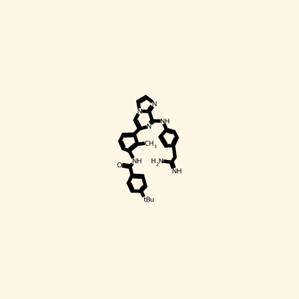 Cc1c(NC(=O)c2ccc(C(C)(C)C)cc2)cccc1-c1cn2ccnc2c(Nc2ccc(CC(=N)N)cc2)n1